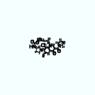 CC(C)(C)OC(=O)NC1CCN(c2c(F)cc3c(=O)c(C(=O)n4ccnc4)cn(C4CC4)c3c2Cl)C1